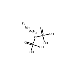 O=P(O)(O)OP(=O)(O)O.[Fe].[MgH2].[Mn]